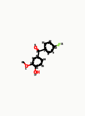 COc1cc(C(=O)c2ccc(F)cc2)ccc1O